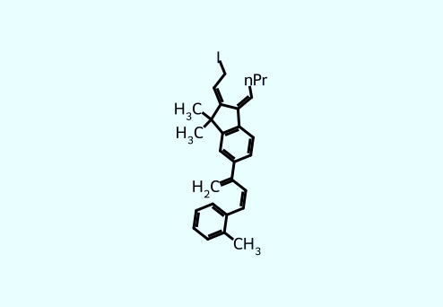 C=C(/C=C\c1ccccc1C)c1ccc2c(c1)C(C)(C)C(=C/CI)/C2=C\CCC